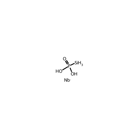 O=P(O)(O)[SiH3].[Nb]